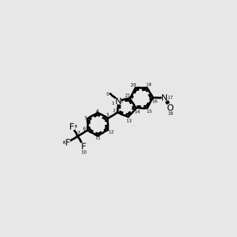 Cn1c(-c2ccc(C(F)(F)F)cc2)cc2cc(N=O)ccc21